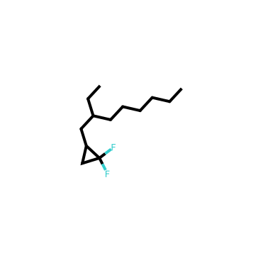 CCCCCCC(CC)CC1CC1(F)F